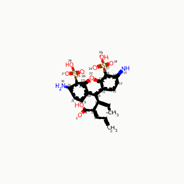 C=C/C=C(C(=O)O)\C(=C/C)c1c2ccc(=N)c(S(=O)(=O)O)c-2oc2c(S(=O)(=O)O)c(N)ccc12